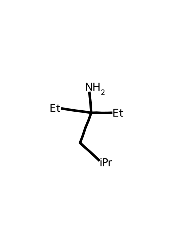 CCC(N)(CC)CC(C)C